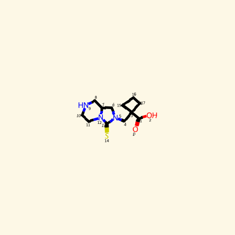 O=C(O)C1(CN2CC3CNCCN3C2=S)CCC1